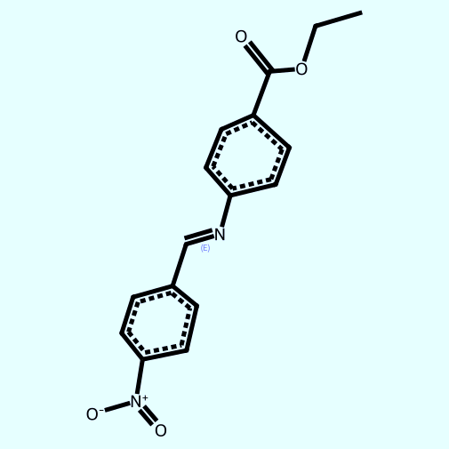 CCOC(=O)c1ccc(/N=C/c2ccc([N+](=O)[O-])cc2)cc1